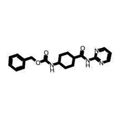 O=C(NC1CCC(C(=O)Nc2ncccn2)CC1)OCc1ccccc1